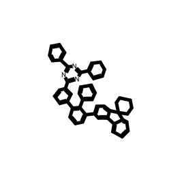 C1=CC(c2nc(-c3ccccc3)nc(-c3cccc(-c4cccc(-c5ccc6c(c5)-c5ccccc5C65CCCCC5)c4-c4ccccc4)c3)n2)=CCC1